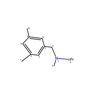 CCCN(C)Cc1cc(C)cc(C)c1